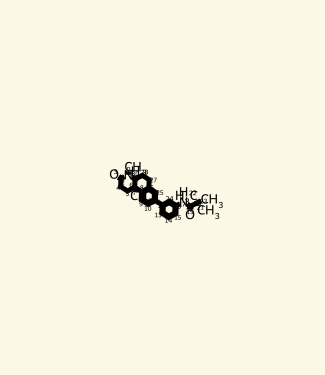 CN1C(=O)CC[C@]2(C)c3ccc(-c4cccc(NC(=O)C(C)(C)C)c4)cc3CC[C@@H]12